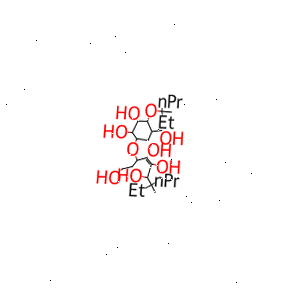 CCCC(C)(CC)OC1C(CO)CC(OC(CCO)/C(O)=C(/O)C(O)C(C)(CC)CCC)C(O)C1O